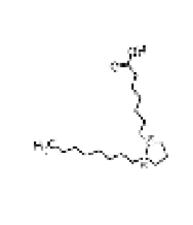 CCCCCCCC[C@@H]1CCC[C@H]1CCCCCCC(=O)O